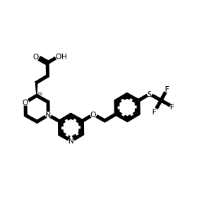 O=C(O)CC[C@H]1CN(c2cncc(OCc3ccc(SC(F)(F)F)cc3)c2)CCO1